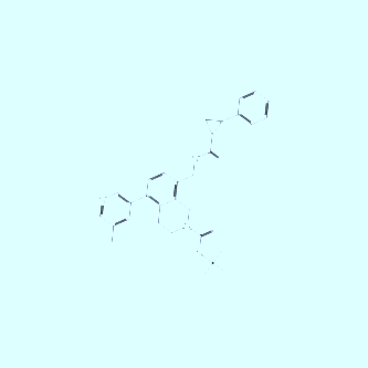 Cc1cncc(-c2ccc(CNC(=O)C3CC3c3ccccc3)c3c2CCN(C(=O)NC(C)(C)C)C3)c1